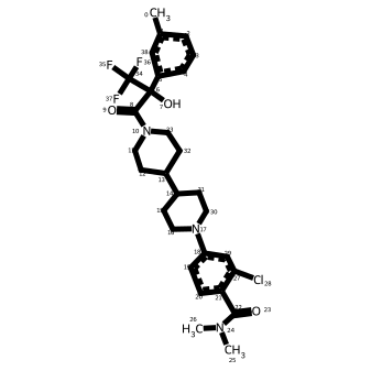 Cc1cccc(C(O)(C(=O)N2CCC(C3CCN(c4ccc(C(=O)N(C)C)c(Cl)c4)CC3)CC2)C(F)(F)F)c1